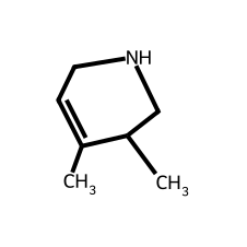 CC1=CCNCC1C